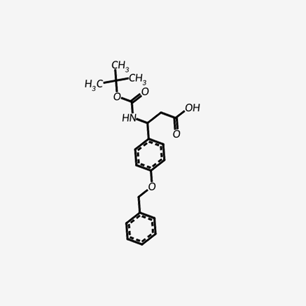 CC(C)(C)OC(=O)NC(CC(=O)O)c1ccc(OCc2ccccc2)cc1